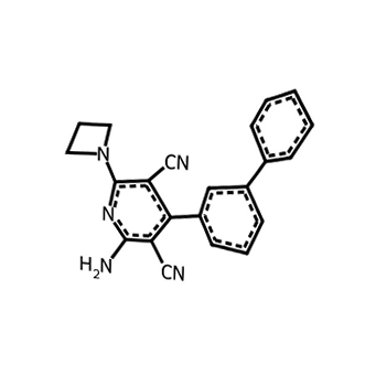 N#Cc1c(N)nc(N2CCC2)c(C#N)c1-c1cccc(-c2ccccc2)c1